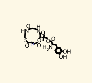 CC(C)(COC(=O)[C@@H](N)Cc1ccc(O)c(O)c1)[C@H]1OC(=O)/C=C/C(=O)SCCNC(=O)CCNC1=O